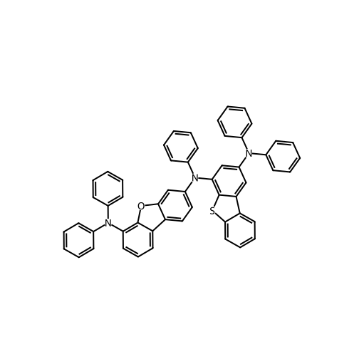 c1ccc(N(c2ccccc2)c2cc(N(c3ccccc3)c3ccc4c(c3)oc3c(N(c5ccccc5)c5ccccc5)cccc34)c3sc4ccccc4c3c2)cc1